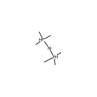 C[PH](C)(C)[Ni][PH](C)(C)C